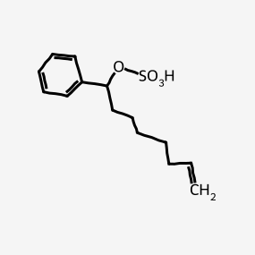 C=CCCCCCC(OS(=O)(=O)O)c1ccccc1